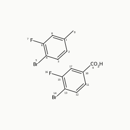 Cc1ccc(Br)c(F)c1.O=C(O)c1ccc(Br)c(F)c1